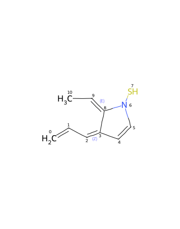 C=C/C=c1/ccn(S)/c1=C/C